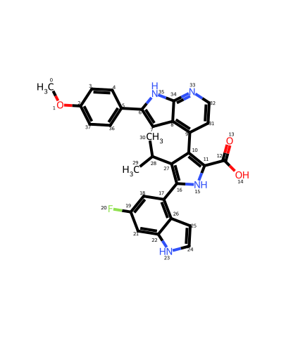 COc1ccc(-c2cc3c(-c4c(C(=O)O)[nH]c(-c5cc(F)cc6[nH]ccc56)c4C(C)C)ccnc3[nH]2)cc1